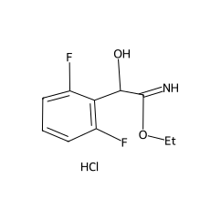 CCOC(=N)C(O)c1c(F)cccc1F.Cl